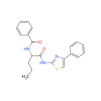 CCCC(NC(=O)c1ccccc1)C(=O)Nc1nc(-c2ccccc2)cs1